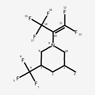 CC1CC(C(F)(F)F)CN(C(=C(F)F)C(F)(F)F)C1